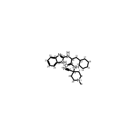 CN1CCC(C#N)(NC(=O)C(CC2CCCCC2)Nc2nc3ccccc3[nH]2)CC1